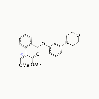 CO/C=C(\C(=O)OC)c1ccccc1COc1cccc(N2CCOCC2)c1